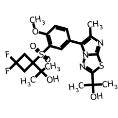 COc1ccc(-c2c(C)nc3sc(C(C)(C)O)nn23)cc1S(=O)(=O)C1(C(C)(C)O)CC(F)(F)C1